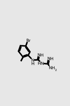 Cc1ccc(Br)cc1NC(=N)NC(=N)N